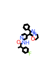 CC(C(=O)Nc1cc(-c2c(-c3ccccc3)nn3c2OCCC3)ccn1)c1ccc(F)cc1